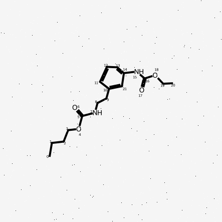 CCCCOC(=O)NCCc1cccc(NC(=O)OCC)c1